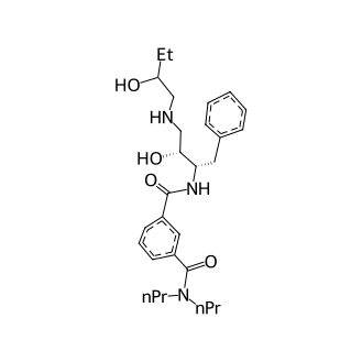 CCCN(CCC)C(=O)c1cccc(C(=O)N[C@@H](Cc2ccccc2)[C@H](O)CNCC(O)CC)c1